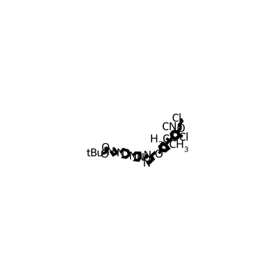 CC(C)(C)OC(=O)N1CC(N2CCC(N3CCN(c4nccc(COc5ccc(C(C)(C)c6cc(Cl)c(OCCCl)c(C#N)c6)cc5)n4)CC3)CC2)C1